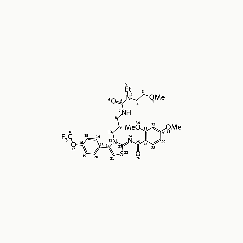 CCN(CCOC)C(=O)NCCCn1c(-c2ccc(OC(F)(F)F)cc2)cs/c1=N\C(=O)c1ccc(OC)cc1OC